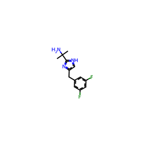 CC(C)(N)c1nc(Cc2cc(F)cc(F)c2)c[nH]1